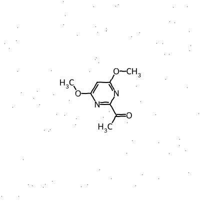 COc1cc(OC)nc(C(C)=O)n1